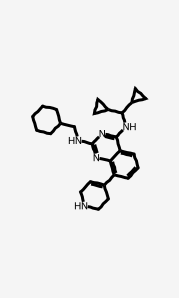 C1=C(c2cccc3c(NC(C4CC4)C4CC4)nc(NCC4CCCCC4)nc23)CCNC1